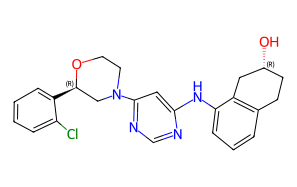 O[C@@H]1CCc2cccc(Nc3cc(N4CCO[C@H](c5ccccc5Cl)C4)ncn3)c2C1